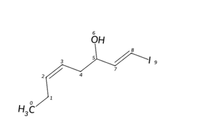 CC/C=C\CC(O)/C=C/I